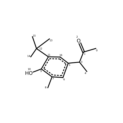 CC(=O)C(C)c1cc(C)c(O)c(C(C)(C)C)c1